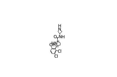 O=C(NC1CNC1)[C@H]1CC[C@@H](c2c(O)ccc(Cl)c2Cl)N1